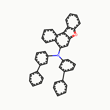 c1ccc(-c2cccc(N(c3cccc(-c4ccccc4)c3)c3cc4oc5ccccc5c4c4ccccc34)c2)cc1